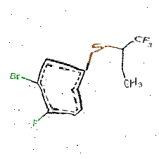 CC(Sc1ccc(F)c(Br)c1)C(F)(F)F